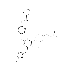 COc1c(Nc2cc(C)[nH]n2)nc(Sc2ccc(NC(=O)C3CCCC3)cc2)nc1N1CCN(CCN(C)C)CC1